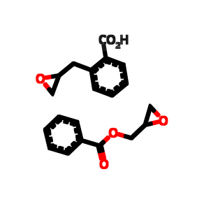 O=C(O)c1ccccc1CC1CO1.O=C(OCC1CO1)c1ccccc1